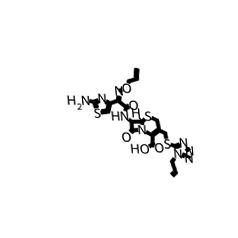 C=CCO/N=C(\C(=O)NC1C(=O)N2C(C(=O)O)=C(CSc3nnnn3CC=C)CS[C@H]12)c1csc(N)n1